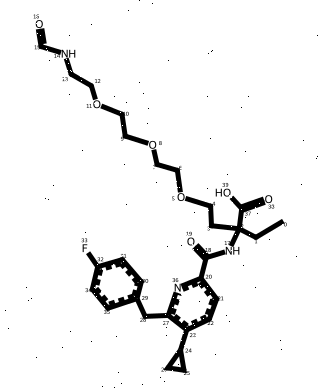 CCC(CCOCCOCCOCCNC=O)(NC(=O)c1ccc(C2CC2)c(Cc2ccc(F)cc2)n1)C(=O)O